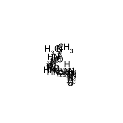 CN(C)C/C=C/C(=O)NC1CN(c2ccnc(NC(=O)Nc3ccc(-c4cc5c(N6CCOCC6)ncnc5[nH]4)cc3)c2)C1